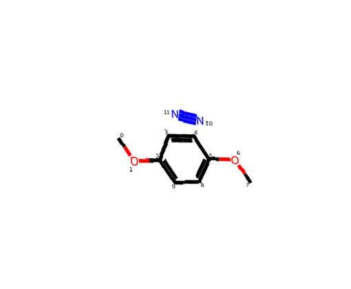 COc1ccc(OC)cc1.N#N